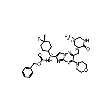 O=C(N[C@H](c1cn2nc(C[C@H]3C[C@@H](C(F)(F)F)CNC3=O)c(N3CCOCC3)nc2n1)C1CCC(F)(F)CC1)OCc1ccccc1